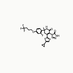 CC1(c2ccc(OCCCC(F)(F)F)cc2F)CC(c2ncc(C3CC3)s2)=C(n2nn[nH]c2=O)C(=O)N1